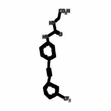 O=C(O)CNC(=O)Nc1ccc(C#Cc2cccc(C(F)(F)F)c2)cc1